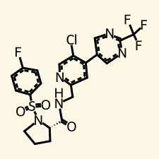 O=C(NCc1cc(-c2cnc(C(F)(F)F)nc2)c(Cl)cn1)[C@@H]1CCCN1S(=O)(=O)c1ccc(F)cc1